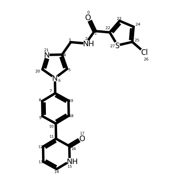 O=C(NCc1cn(-c2ccc(-c3ccc[nH]c3=O)cc2)cn1)c1ccc(Cl)s1